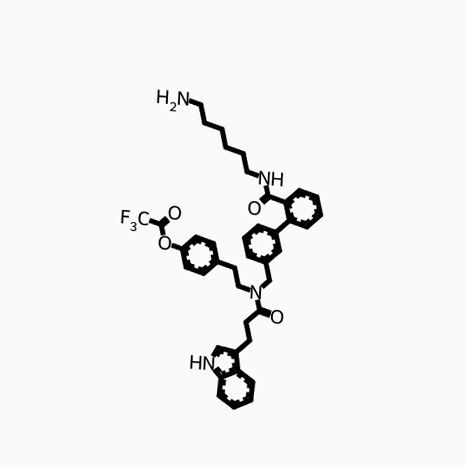 NCCCCCCNC(=O)c1ccccc1-c1cccc(CN(CCc2ccc(OC(=O)C(F)(F)F)cc2)C(=O)CCc2c[nH]c3ccccc23)c1